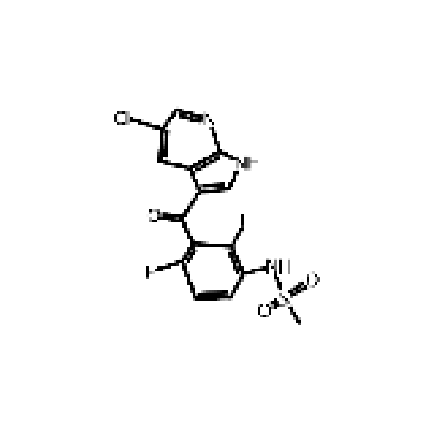 CS(=O)(=O)Nc1ccc(F)c(C(=O)c2c[nH]c3ncc(Cl)cc23)c1F